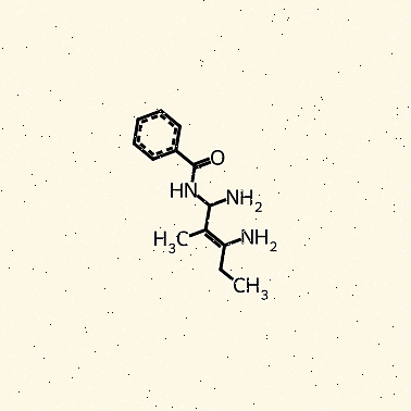 CC/C(N)=C(\C)C(N)NC(=O)c1ccccc1